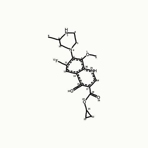 COc1c(N2CCNC(C)C2)c(F)cc2c(=O)c(C(=O)OC3CC3)c[nH]c12